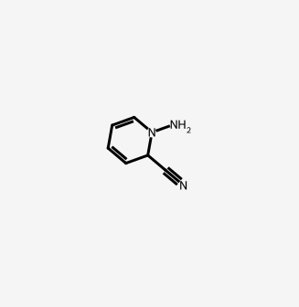 N#CC1C=CC=CN1N